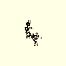 CCc1ccc(-c2ccc(CN3CCC(n4cc(C(N)=O)c(NC(=O)C5CC5C#N)n4)C(C#N)C(F)C3)cc2O)cc1